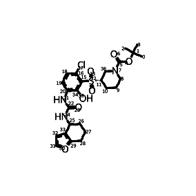 CC(C)(C)OC(=O)N1CCC[C@H](S(=O)(=O)c2c(Cl)ccc(NC(=O)NC3CCCc4occc43)c2O)C1